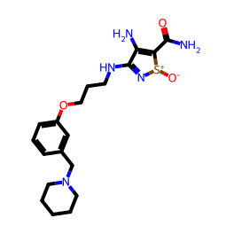 NC(=O)c1c(N)c(NCCCOc2cccc(CN3CCCCC3)c2)n[s+]1[O-]